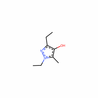 CCc1nn(CC)c(C)c1O